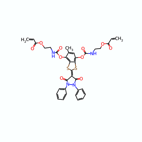 C=CC(=O)OCCNC(=O)Oc1cc(C)c(OC(=O)NCCOC(=O)C=C)c2c1SC(=C1C(=O)N(c3ccccc3)N(c3ccccc3)C1=O)S2